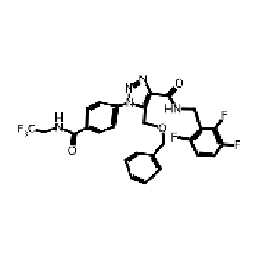 O=C(NCC(F)(F)F)c1ccc(-n2nnc(C(=O)NCc3c(F)ccc(F)c3F)c2COCc2ccccc2)cc1